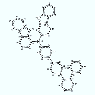 c1ccc2c(c1)oc1cc(N(c3ccc(-c4ccc5c6ccccc6c6ccccc6c5c4)cc3)c3cccc4c3sc3ccccc34)ccc12